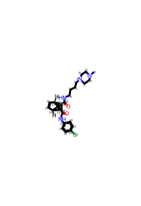 CN1CCN(CCCCNC(=O)[C@H]2[C@H](C(=O)Nc3ccc(Br)cc3)[C@@H]3C=C[C@H]2C32CC2)CC1